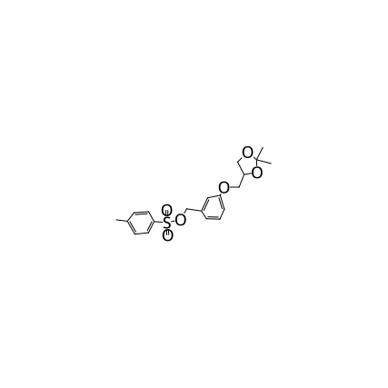 Cc1ccc(S(=O)(=O)OCc2cccc(OCC3COC(C)(C)O3)c2)cc1